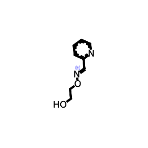 OCCO/N=C/c1ccccn1